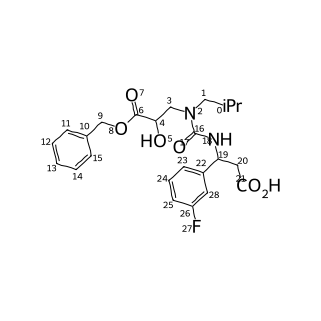 CC(C)CN(CC(O)C(=O)OCc1ccccc1)C(=O)NC(CC(=O)O)c1cccc(F)c1